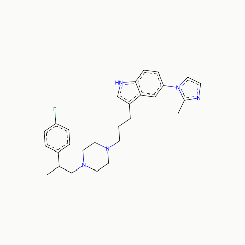 Cc1nccn1-c1ccc2[nH]cc(CCCN3CCN(CC(C)c4ccc(F)cc4)CC3)c2c1